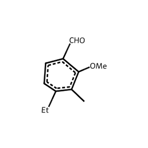 CCc1ccc(C=O)c(OC)c1C